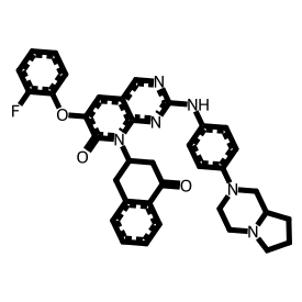 O=C1CC(n2c(=O)c(Oc3ccccc3F)cc3cnc(Nc4ccc(N5CCN6CCCC6C5)cc4)nc32)Cc2ccccc21